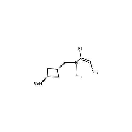 CC/C(=C/N)N(N)C[C@H]1C[C@@H](NC)C1